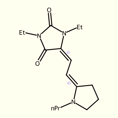 CCCN1CCC/C1=C\C=C1/C(=O)N(CC)C(=O)N1CC